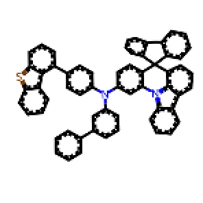 c1ccc(-c2cccc(N(c3ccc(-c4cccc5sc6ccccc6c45)cc3)c3ccc4c(c3)-n3c5ccccc5c5cccc(c53)C43c4ccccc4-c4ccccc43)c2)cc1